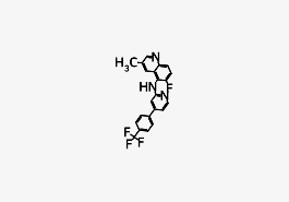 Cc1cnc2ccc(F)c(Nc3cc(-c4ccc(C(F)(F)F)cc4)ccn3)c2c1